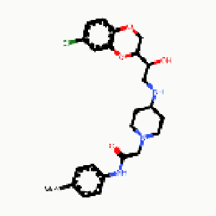 CSc1ccc(NC(=O)CN2CCC(NCC(O)C3COc4ccc(Cl)cc4O3)CC2)cc1